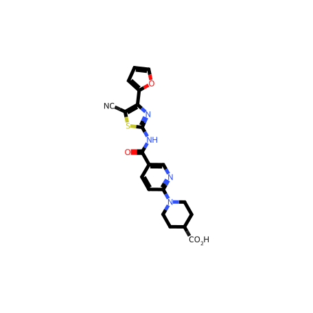 N#Cc1sc(NC(=O)c2ccc(N3CCC(C(=O)O)CC3)nc2)nc1-c1ccco1